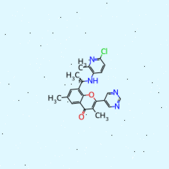 Cc1cc([C@@H](C)Nc2ccc(Cl)nc2C)c2oc(-c3cncnc3)c(C)c(=O)c2c1